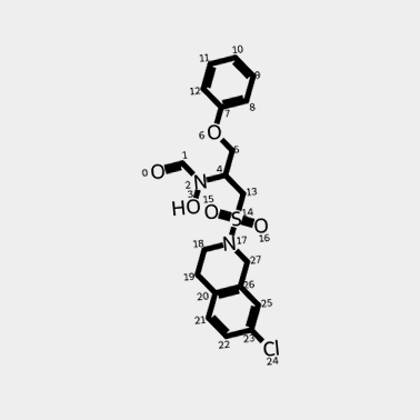 O=CN(O)C(COc1ccccc1)CS(=O)(=O)N1CCc2ccc(Cl)cc2C1